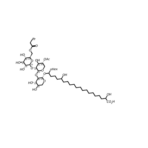 CCCCCCC(CCCC(O)CCCCCCCCCCCCCC(O)C(=O)O)O[C@@H]1OC[C@@H](O)[C@H](O)[C@H]1O[C@@H]1OC[C@@H](OC(C)=O)[C@H](O)[C@H]1O[C@@H]1O[C@H](COC(=O)CC(C)C)[C@@H](O)[C@H](O)[C@H]1O